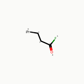 CC(C)CCC(=O)F